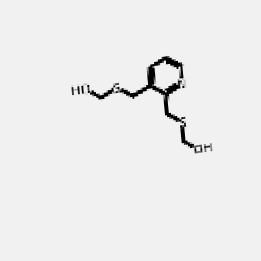 OCSCc1cccnc1CSCO